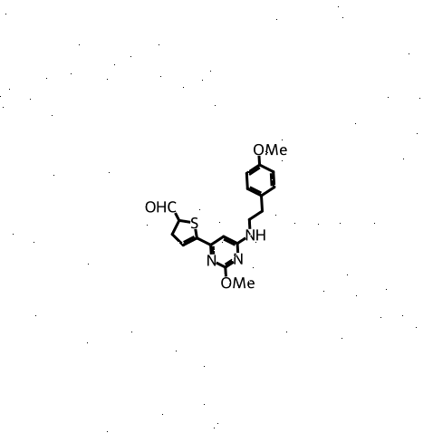 COc1ccc(CCNc2cc(C3=CCC(C=O)S3)nc(OC)n2)cc1